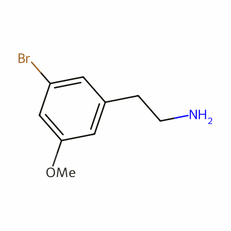 COc1cc(Br)cc(CCN)c1